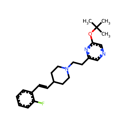 CC(C)(C)Oc1cncc(CCN2CCC(C=Cc3ccccc3F)CC2)n1